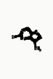 Cc1cnc2cnc(Cl)[nH]c1-2